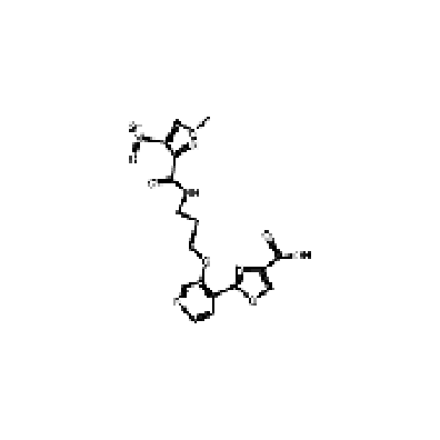 Cn1cc([N+](=O)[O-])c(C(=O)NCCCOc2cnccc2-c2nc(C(=O)O)co2)n1